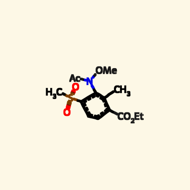 CCOC(=O)c1ccc(S(C)(=O)=O)c(N(OC)C(C)=O)c1C